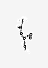 C=CC(=O)OC(COCCCCOC(O)C=C)COc1ccc(C(=O)Oc2ccc(CCOC(=O)c3ccc(CCC)cc3)cc2/C=N/N(C)C2c3ccccc3-c3ccccc32)cc1